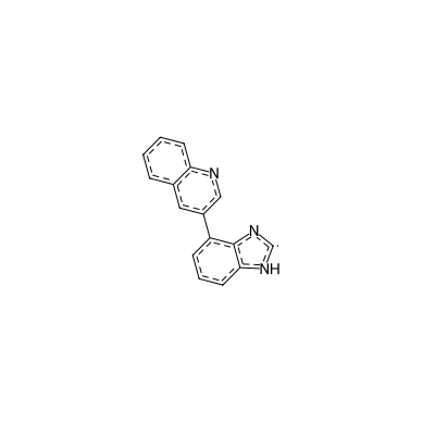 [c]1nc2c(-c3cnc4ccccc4c3)cccc2[nH]1